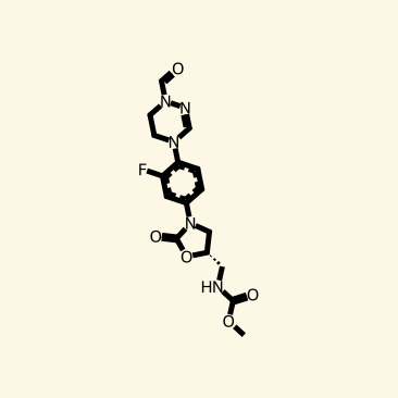 COC(=O)NC[C@H]1CN(c2ccc(N3C=NN(C=O)CC3)c(F)c2)C(=O)O1